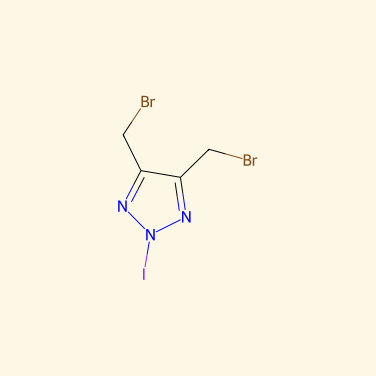 BrCc1nn(I)nc1CBr